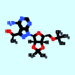 C[C@H](O)c1nn([C@@H]2O[C@H](CO[Si](C)(C)C(C)(C)C)[C@H]3OC(C)(C)O[C@H]32)c2ncnc(N)c12